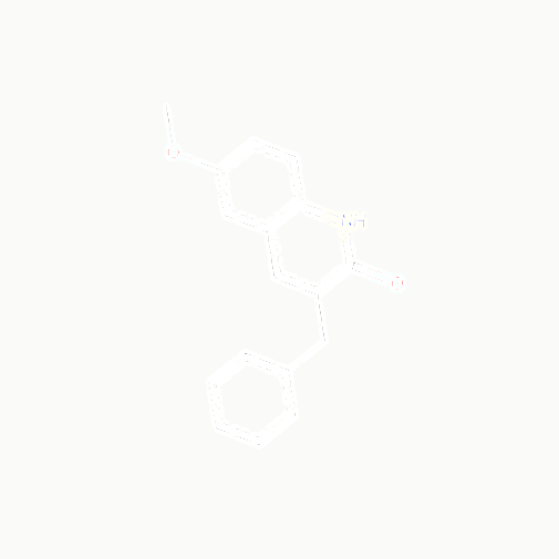 COc1ccc2[nH]c(=O)c(Cc3ccccc3)cc2c1